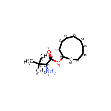 CC(C)(C)[C@H](N)C(=O)OC1CCCCCCCCC1